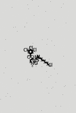 CN1CCC(OC(=O)c2cc(Cl)c(Cl)c(Cl)c2)N(c2nnc(CCCCCCCl)s2)C1=O